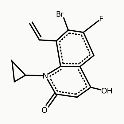 C=Cc1c(Br)c(F)cc2c(O)cc(=O)n(C3CC3)c12